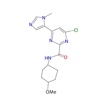 COC1CCC(NC(=O)c2nc(Cl)cc(-c3cncn3C)n2)CC1